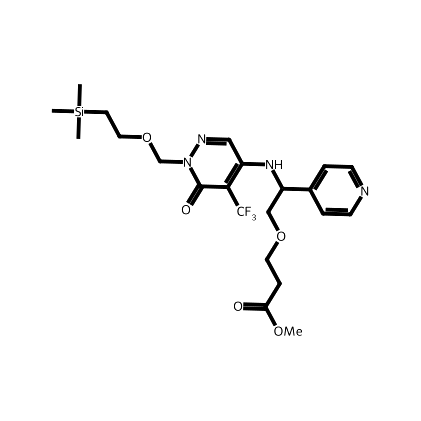 COC(=O)CCOCC(Nc1cnn(COCC[Si](C)(C)C)c(=O)c1C(F)(F)F)c1ccncc1